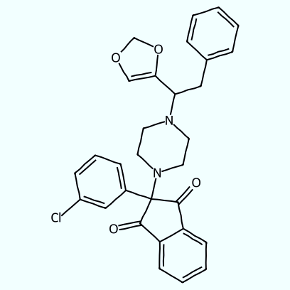 O=C1c2ccccc2C(=O)C1(c1cccc(Cl)c1)N1CCN(C(Cc2ccccc2)C2=COCO2)CC1